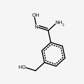 N/C(=N\O)c1cccc(CO)c1